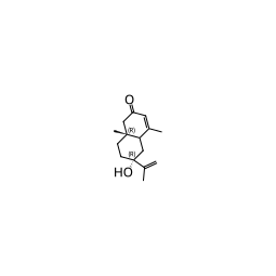 C=C(C)[C@@]1(O)CC[C@]2(C)CC(=O)C=C(C)C2C1